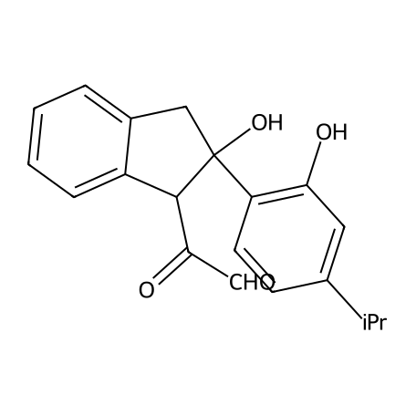 CC(C)c1ccc(C2(O)Cc3ccccc3C2C(=O)C=O)c(O)c1